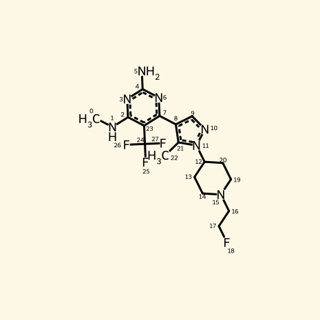 CNc1nc(N)nc(-c2cnn(C3CCN(CCF)CC3)c2C)c1C(F)(F)F